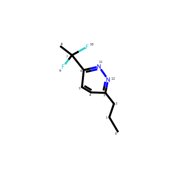 CCCc1ccc(C(C)(F)F)nn1